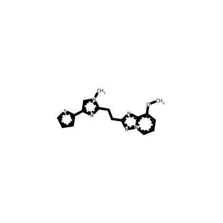 COc1cccn2nc(CCc3nc(-c4cccs4)cn3C)nc12